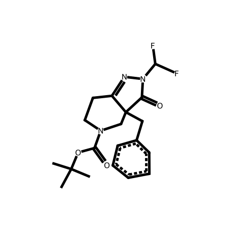 CC(C)(C)OC(=O)N1CCC2=NN(C(F)F)C(=O)C2(Cc2ccccc2)C1